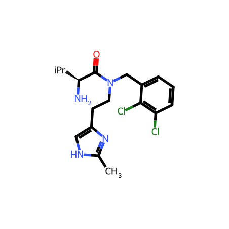 Cc1nc(CCN(Cc2cccc(Cl)c2Cl)C(=O)[C@@H](N)C(C)C)c[nH]1